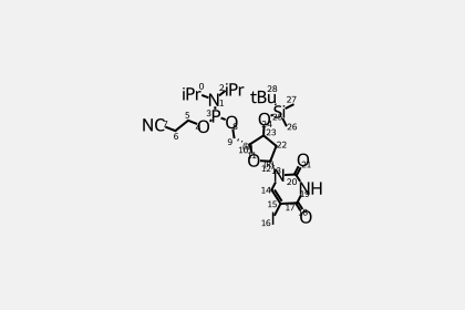 CC(C)N(C(C)C)P(OCCC#N)OC[C@H]1O[C@@H](n2cc(I)c(=O)[nH]c2=O)CC1O[Si](C)(C)C(C)(C)C